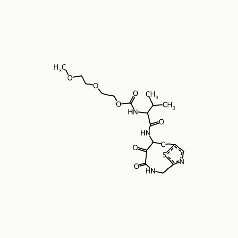 COCCOCCOC(=O)NC(C(=O)NC1Cc2cnc(s2)CNC(=O)C1=O)C(C)C